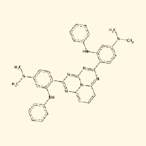 CN(C)c1ccc(C2=NC3=CC=CC4=NC(c5ccc(N(C)C)cc5Nc5ccccc5)=NC(=N2)N34)c(Nc2ccccc2)c1